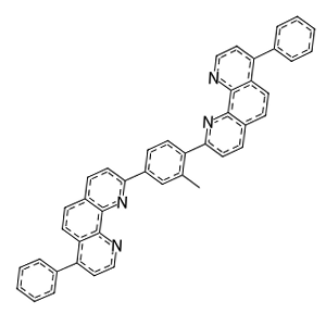 Cc1cc(-c2ccc3ccc4c(-c5ccccc5)ccnc4c3n2)ccc1-c1ccc2ccc3c(-c4ccccc4)ccnc3c2n1